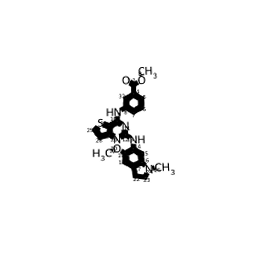 COC(=O)c1cccc(Nc2nc(Nc3cc4c(cc3OC)CCN4C)nc3ccsc23)c1